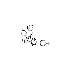 Cc1ccc(S(=O)(=O)Nc2ncc(-c3ccc(F)cc3)nc2OCc2cccnc2)cc1